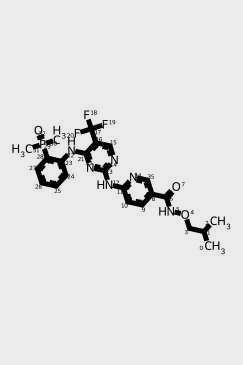 CC(C)CONC(=O)c1ccc(Nc2ncc(C(F)(F)F)c(Nc3ccccc3P(C)(C)=O)n2)nc1